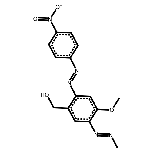 C/N=N/c1cc(CO)c(/N=N/c2ccc([N+](=O)[O-])cc2)cc1OC